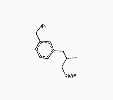 CSCC(C)Cc1cccc(CC(C)C)c1